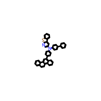 c1ccc(-c2ccc(N(c3ccc(-c4cc5c6ccccc6ccc5c5ccccc45)cc3)c3cnc4sc5ccccc5c4c3)cc2)cc1